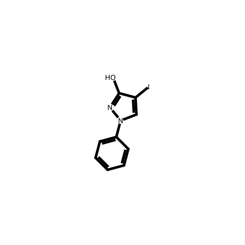 Oc1nn(-c2ccccc2)cc1I